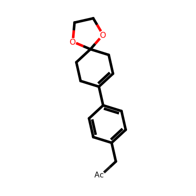 CC(=O)Cc1ccc(C2=CCC3(CC2)OCCO3)cc1